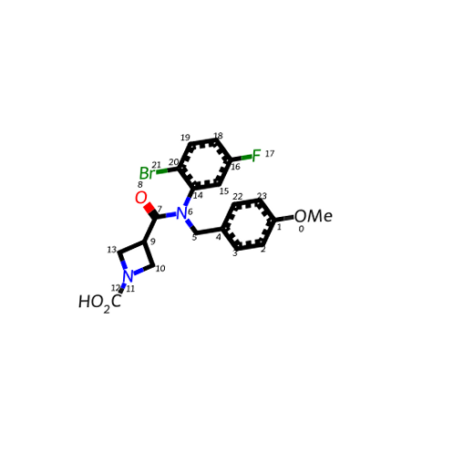 COc1ccc(CN(C(=O)C2CN(C(=O)O)C2)c2cc(F)ccc2Br)cc1